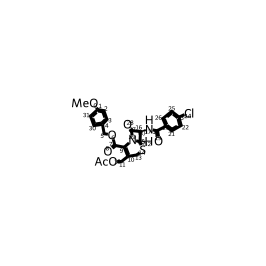 COc1ccc(COC(=O)C2=C(COC(C)=O)CS[C@@H]3[C@H](NC(=O)c4ccc(Cl)cc4)C(=O)N23)cc1